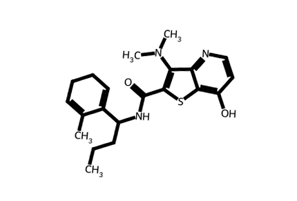 CCCC(NC(=O)c1sc2c(O)ccnc2c1N(C)C)C1=CCCC=C1C